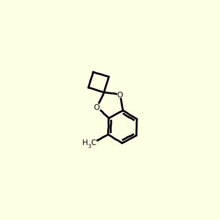 Cc1cccc2c1OC1(CCC1)O2